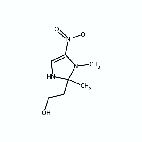 CN1C([N+](=O)[O-])=CNC1(C)CCO